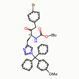 COc1ccc(C(c2ccccc2)(c2ccccc2)n2cnc(C[C@H](NC(=O)OC(C)(C)C)C(=O)Cc3ccc(Br)cc3)c2)cc1